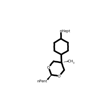 CCCCCCCC1CCC([C@]2(C)CO[C@H](CCCCC)OC2)CC1